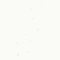 Nc1nc(/C(=N/O)C(=O)NC2C(=O)N3C(C(=O)O)=C(Sc4ccncn4)CCC23)c(Cl)s1